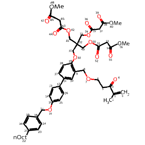 C=C(C)C(=O)CCOCc1cc(-c2ccc(OCc3ccc(CCCCCCCC)cc3)cc2)ccc1OCC(COC(=O)CC(=O)OC)(COC(=O)CC(=O)OC)COC(=O)CC(=O)OC